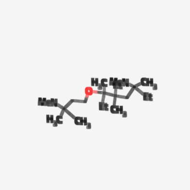 CCC(C)(CC(C)(CC)C(C)(CC)OCCC(C)(C)NC)NC